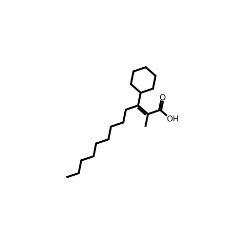 CCCCCCCCCC(=C(C)C(=O)O)C1CCCCC1